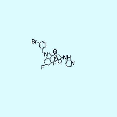 O=C(CS(=O)(=O)c1cn(Cc2cccc(Br)c2)c2cc(F)cc(F)c12)Nc1cccnc1